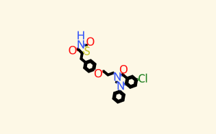 O=C1NC(=O)C(Cc2ccc(OCCCN3CN(c4ccccc4)c4ccc(Cl)cc4C3=O)cc2)S1